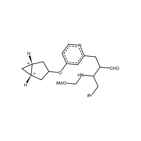 COCNC(CC(C)C)C(C=O)Cc1cc(OC2C[C@@H]3C[C@@H]3C2)ccn1